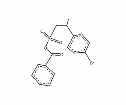 CC(CS(=O)(=O)OC(=O)c1ccccc1)c1ccc(Br)cc1